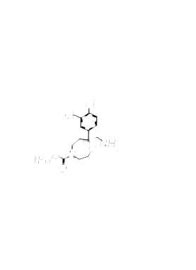 CC(C)(C)OC(=O)N1CCO[C@@](CN)(c2ccc(Cl)c(Cl)c2)CC1